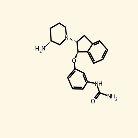 NC(=O)Nc1cccc(O[C@@H]2c3ccccc3C[C@H]2N2CCC[C@@H](N)C2)c1